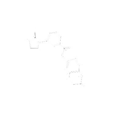 O=C1COc2cc(NC(=O)c3cccc(N4CCCC4=O)c3)ccc2N1